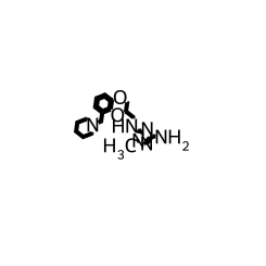 Cn1nc(N)nc1NCC1COc2cccc(CN3CCCCC3)c2O1